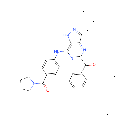 O=C(c1ccccc1)c1nc(Nc2ccc(C(=O)N3CCCC3)cc2)c2[nH]ncc2n1